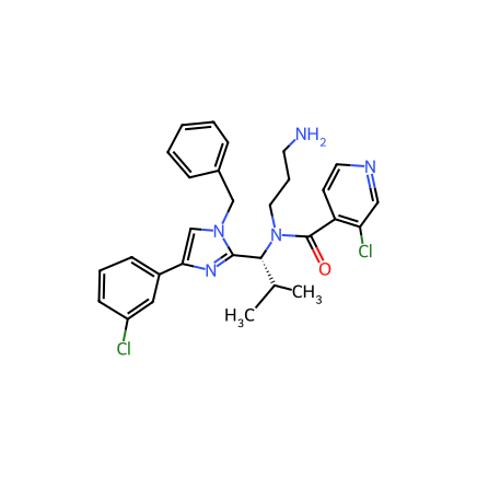 CC(C)[C@H](c1nc(-c2cccc(Cl)c2)cn1Cc1ccccc1)N(CCCN)C(=O)c1ccncc1Cl